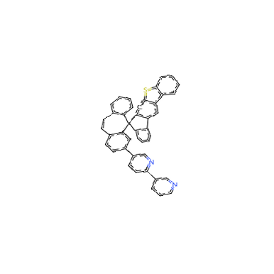 C1=Cc2ccc(-c3ccc(-c4cccnc4)nc3)cc2C2(c3ccccc31)c1ccccc1-c1cc3c(cc12)sc1ccccc13